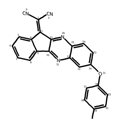 [C-]#[N+]/C(C#N)=C1\c2ccccc2-c2nc3cc(Oc4ccc(C(F)(F)F)cc4)ccc3nc21